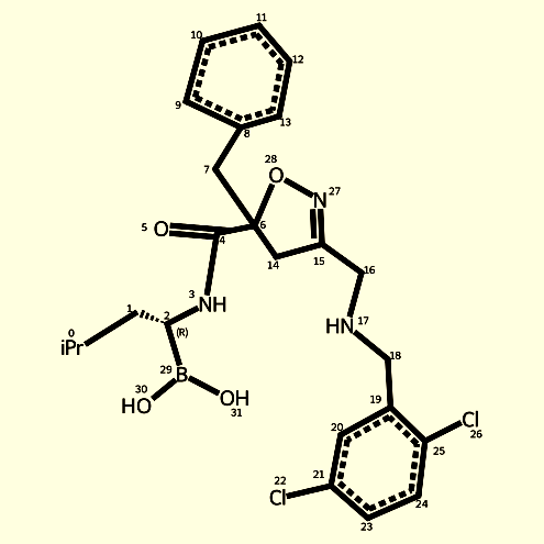 CC(C)C[C@H](NC(=O)C1(Cc2ccccc2)CC(CNCc2cc(Cl)ccc2Cl)=NO1)B(O)O